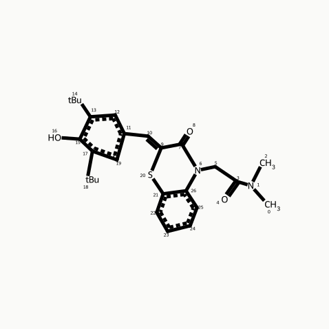 CN(C)C(=O)CN1C(=O)/C(=C/c2cc(C(C)(C)C)c(O)c(C(C)(C)C)c2)Sc2ccccc21